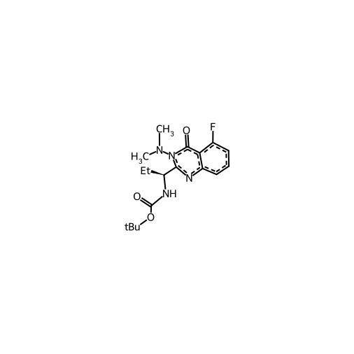 CC[C@H](NC(=O)OC(C)(C)C)c1nc2cccc(F)c2c(=O)n1N(C)C